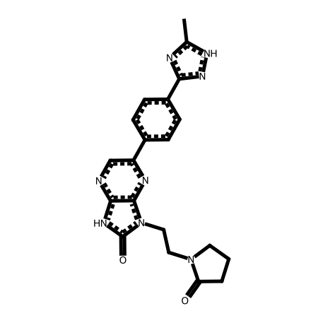 Cc1nc(-c2ccc(-c3cnc4[nH]c(=O)n(CCN5CCCC5=O)c4n3)cc2)n[nH]1